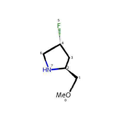 COC[C@@H]1C[C@@H](F)CN1